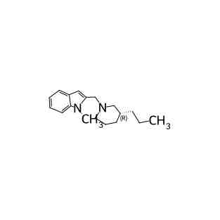 CCC[C@@H]1CCCN(Cc2cc3ccccc3n2C)C1